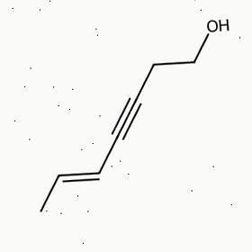 C/C=C/C#CCCO